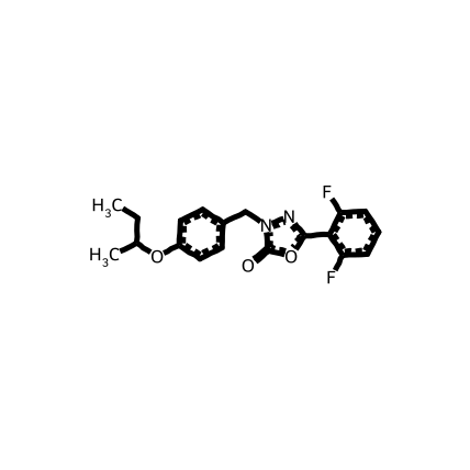 CCC(C)Oc1ccc(Cn2nc(-c3c(F)cccc3F)oc2=O)cc1